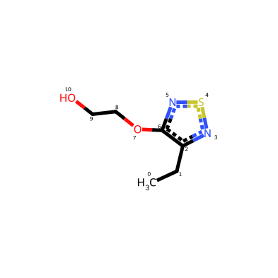 CCc1nsnc1OCCO